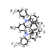 N#Cc1cc(-n2c3cc(C(F)(F)F)ccc3c3ccc(C(F)(F)F)cc32)c(-c2c(C(F)(F)F)cccc2C(F)(F)F)c(-n2c3cc(C(F)(F)F)ccc3c3ccc(C(F)(F)F)cc32)c1